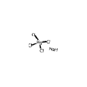 [Cl][Hg]([Cl])([Cl])[Cl].[NaH]